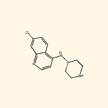 Clc1ccc2c(NN3CCNCC3)ccnc2c1